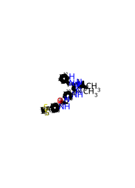 CC(C)c1cnn2c(NCc3ccccc3)cc(NC3CCCN(CC(=O)Nc4ccc([As]5SCCS5)cc4)C3)nc12